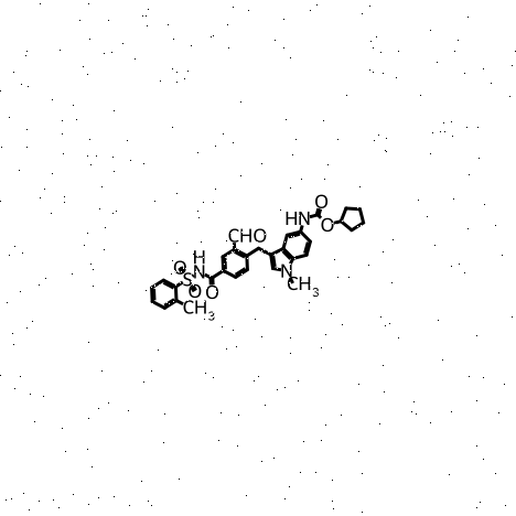 Cc1ccccc1S(=O)(=O)NC(=O)c1ccc(Cc2cn(C)c3ccc(NC(=O)OC4CCCC4)cc23)c(C=O)c1